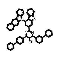 CCC1C(c2ccc(-c3ccccc3)cc2)=NC(C2=Cc3sc4ccccc4c3C(n3c4ccccc4c4cc5ccccc5cc43)C2)=NC1c1cccc(-c2ccccc2)c1